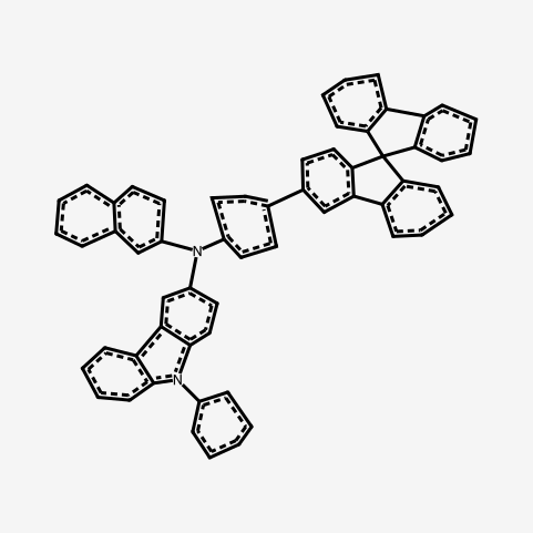 c1ccc(-n2c3ccccc3c3cc(N(c4ccc(-c5ccc6c(c5)-c5ccccc5C65c6ccccc6-c6ccccc65)cc4)c4ccc5ccccc5c4)ccc32)cc1